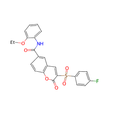 CCOc1ccccc1NC(=O)c1ccc2oc(=O)c(S(=O)(=O)c3ccc(F)cc3)cc2c1